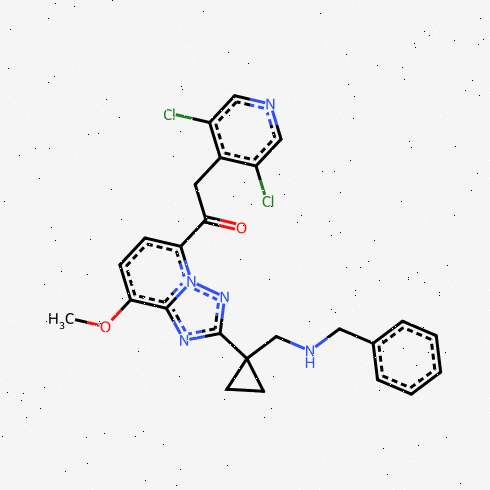 COc1ccc(C(=O)Cc2c(Cl)cncc2Cl)n2nc(C3(CNCc4ccccc4)CC3)nc12